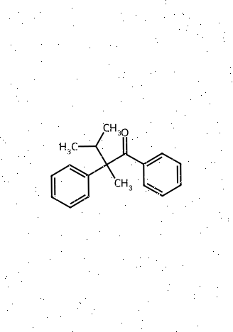 CC(C)C(C)(C(=O)c1ccccc1)c1ccccc1